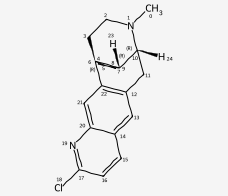 CN1CC[C@]23CCCC[C@H]2[C@H]1Cc1cc2ccc(Cl)nc2cc13